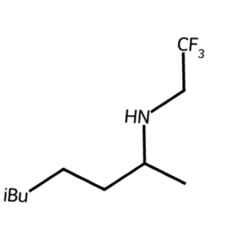 CCC(C)CCC(C)NCC(F)(F)F